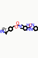 CC(C)NC1CC1c1ccc(COC(=O)N2Cc3ccc(C(=O)Nc4ccccc4N)cc3C2)cc1